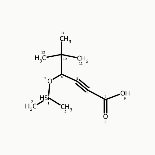 C[SiH](C)OC(C#CC(=O)O)C(C)(C)C